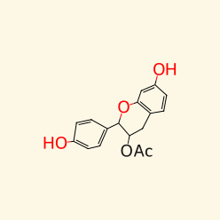 CC(=O)OC1Cc2ccc(O)cc2OC1c1ccc(O)cc1